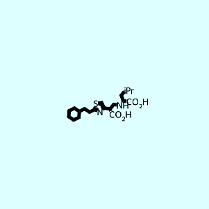 CC(C)CC(NCC(C(=O)O)c1csc(CCC2CCCCC2)n1)C(=O)O